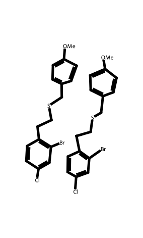 COc1ccc(CSCCc2ccc(Cl)cc2Br)cc1.COc1ccc(CSCCc2ccc(Cl)cc2Br)cc1